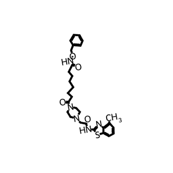 Cc1cccc2sc(NC(=O)CN3CCN(C(=O)CCCCCCC(=O)NOCc4ccccc4)CC3)nc12